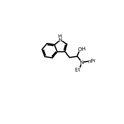 CCCN(CC)C(O)Cc1c[nH]c2ccccc12